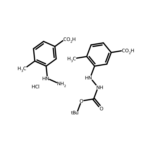 Cc1ccc(C(=O)O)cc1NN.Cc1ccc(C(=O)O)cc1NNC(=O)OC(C)(C)C.Cl